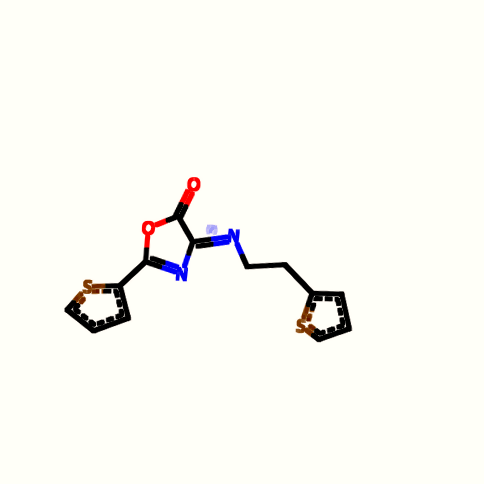 O=C1OC(c2cccs2)=N/C1=N\CCc1cccs1